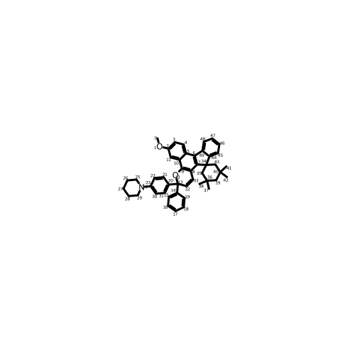 COc1ccc2c3c(c4c(c2c1)OC(c1ccccc1)(c1ccc(N2CCCCC2)cc1)C=C4)C1(CC(C)(C)CC(C)(C)C1)c1ccccc1-3